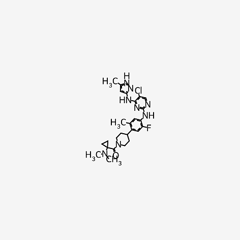 Cc1cc(Nc2nc(Nc3cc(C)c(C4CCN(C(=O)C5(N(C)C)CC5)CC4)cc3F)ncc2Cl)n[nH]1